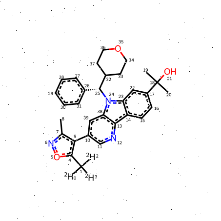 [2H]C([2H])([2H])c1onc(C)c1-c1cnc2c3ccc(C(C)(C)O)cc3n([C@H](c3ccccc3)C3CCOCC3)c2c1